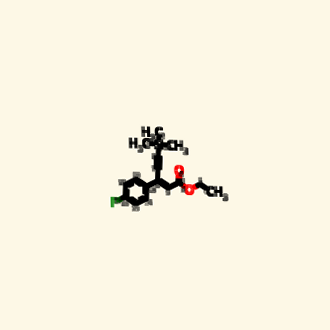 CCOC(=O)C=C(C#C[Si](C)(C)C)c1ccc(F)cc1